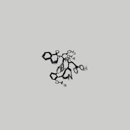 Cc1cccc(C)c1-c1cncc(C(CC(=O)O)NC(=O)C(CC(C)C)N2CCc3ccccc3C2=O)c1